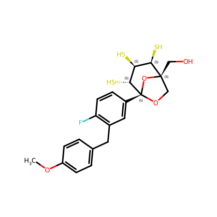 COc1ccc(Cc2cc([C@]34OC[C@](CO)(O3)[C@H](S)[C@H](S)[C@H]4S)ccc2F)cc1